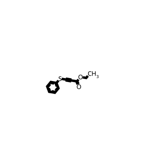 CCOC(=O)C#CSc1ccccc1